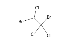 ClC(Br)C(Cl)(Cl)Br